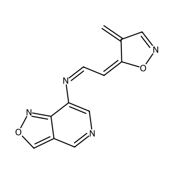 C=c1cno/c1=C/C=N\c1cncc2conc12